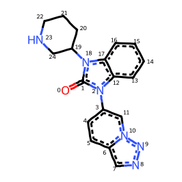 O=c1n(-c2ccc3cnnn3c2)c2ccccc2n1C1CCCNC1